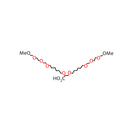 COCCOCCOCCOCCCCCCOCC(OCCCCCCOCCOCCOCCOC)C(=O)O